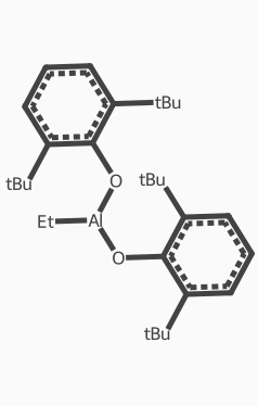 C[CH2][Al]([O]c1c(C(C)(C)C)cccc1C(C)(C)C)[O]c1c(C(C)(C)C)cccc1C(C)(C)C